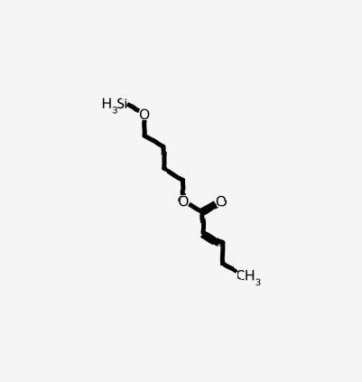 CCC=CC(=O)OCCCCO[SiH3]